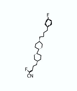 N#CC(F)=CCC[C@H]1CC[C@H]([C@H]2CC[C@H](CCCCc3ccc(F)cc3)CC2)CC1